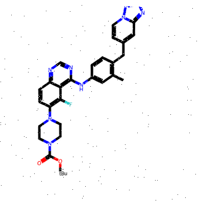 Cc1cc(Nc2ncnc3ccc(N4CCN(C(=O)OC(C)(C)C)CC4)c(F)c23)ccc1Cc1ccn2ncnc2c1